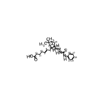 CC1(C)C2CC1[C@@H](CC=CCCCC(=O)O)[C@H](C=NNC(=S)Nc1ccccc1)C2